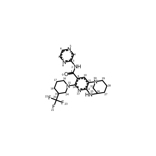 O=C(Nc1cnccn1)c1cc2c(nc1N1CCCC(C(F)(F)F)C1)NC1CCCN2C1